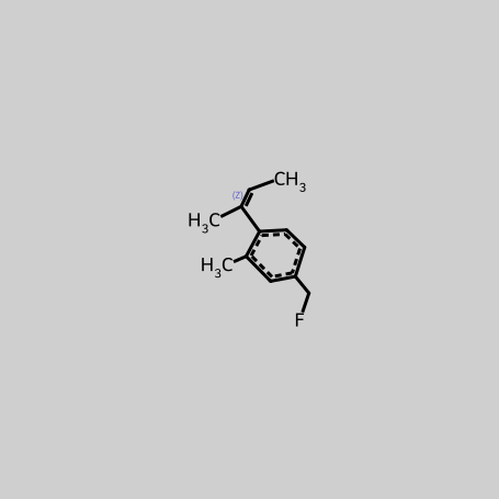 C/C=C(/C)c1ccc(CF)cc1C